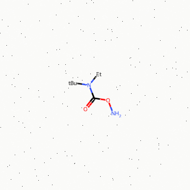 CCN(C(=O)ON)C(C)(C)C